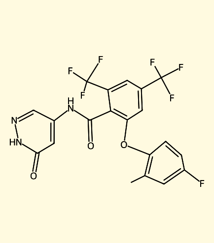 Cc1cc(F)ccc1Oc1cc(C(F)(F)F)cc(C(F)(F)F)c1C(=O)Nc1cn[nH]c(=O)c1